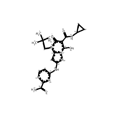 CC(C)(C)Cn1c(=O)c(C(=O)NC2CC2)c(O)n2nc(Nc3ccnc(C(N)=O)n3)cc12